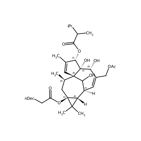 CCCCCCCCCCCC(=O)O[C@@]12C[C@@H](C)[C@]34C=C(C)[C@H](OC(=O)C(C)C(C)C)[C@@]3(O)[C@H](O)C(COC(C)=O)=C[C@H](C4O)[C@@H]1C2(C)C